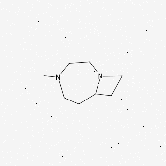 CN1CCC2CCN2CC1